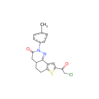 Cc1ccc(N2N=C3c4cc(C(=O)CCl)sc4CCC3CC2=O)cc1